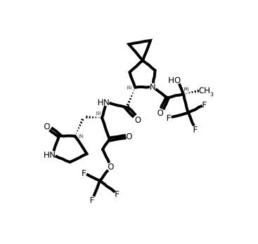 C[C@@](O)(C(=O)N1CC2(CC2)C[C@H]1C(=O)N[C@@H](C[C@@H]1CCNC1=O)C(=O)COC(F)(F)F)C(F)(F)F